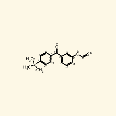 C[Si](C)(C)c1ccc(C(=O)c2cccc(OC=S)c2)cc1